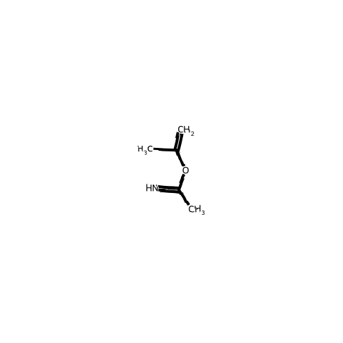 C=C(C)OC(C)=N